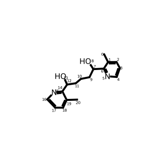 Cc1cccnc1C(O)CCCC(O)c1ncccc1C